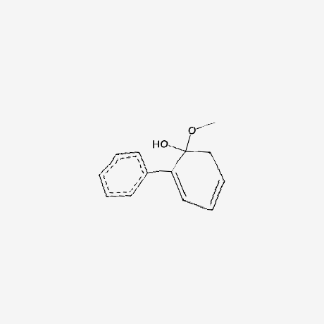 COC1(O)CC=CC=C1c1ccccc1